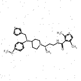 Cc1csc(C)c1C(=O)NCC[C@@H](C)N1CCC(N(Cc2ccsc2)c2ccc(OC(F)(F)F)cc2)CC1